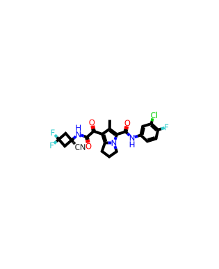 Cc1c(C(=O)C(=O)NC2(C#N)CC(F)(F)C2)c2n(c1C(=O)Nc1ccc(F)c(Cl)c1)CCC2